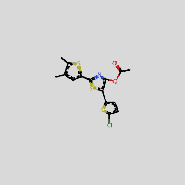 CC(=O)Oc1nc(-c2cc(C)c(C)s2)sc1-c1ccc(Cl)s1